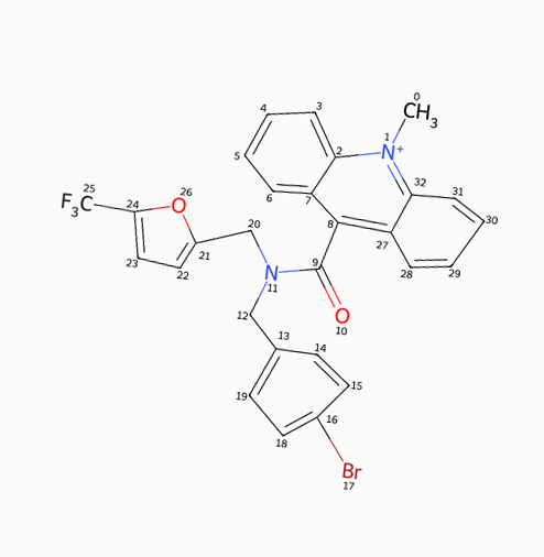 C[n+]1c2ccccc2c(C(=O)N(Cc2ccc(Br)cc2)Cc2ccc(C(F)(F)F)o2)c2ccccc21